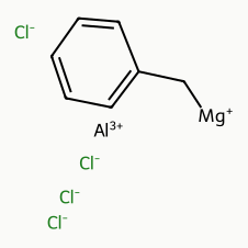 [Al+3].[Cl-].[Cl-].[Cl-].[Cl-].[Mg+][CH2]c1ccccc1